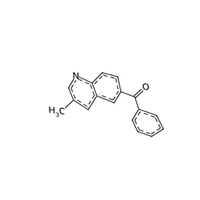 Cc1cnc2ccc(C(=O)c3ccccc3)cc2c1